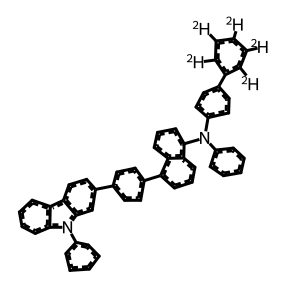 [2H]c1c([2H])c([2H])c(-c2ccc(N(c3ccccc3)c3cccc4c(-c5ccc(-c6ccc7c8ccccc8n(-c8ccccc8)c7c6)cc5)cccc34)cc2)c([2H])c1[2H]